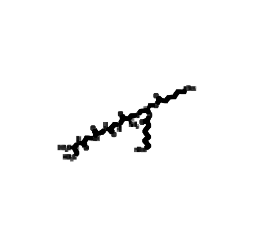 CCCCCCCCCCCCCCCC(=O)OC[C@H](CSC[C@H](N)C(=O)NCC(=O)NCC(=O)NCC(=O)N[C@@H](CC(=O)O)C(=O)O)OC(=O)CCCCCCCCCCCCCCC